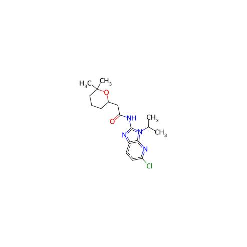 CC(C)n1c(NC(=O)CC2CCCC(C)(C)O2)nc2ccc(Cl)nc21